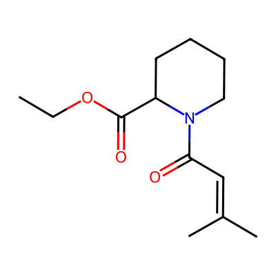 CCOC(=O)C1CCCCN1C(=O)C=C(C)C